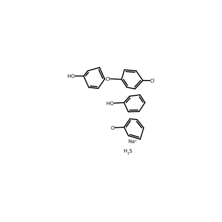 Clc1ccc(Cl)cc1.Oc1ccccc1.Oc1ccccc1.S.[Na+].[O-]c1ccccc1